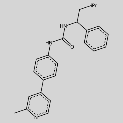 Cc1cc(-c2ccc(NC(=O)NC(CC(C)C)c3ccccc3)cc2)ccn1